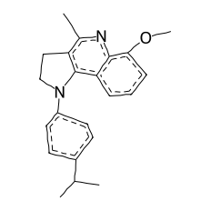 COc1cccc2c3c(c(C)nc12)CCN3c1ccc(C(C)C)cc1